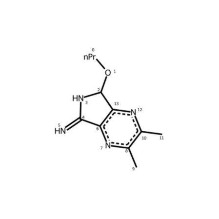 CCCOC1NC(=N)c2nc(C)c(C)nc21